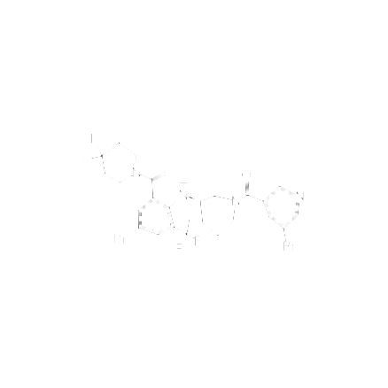 O=C(c1cncc(Br)c1)N1CCC[C@@H](Nc2c(C(=O)N3CCC(F)(F)CC3)cc(Br)cc2C(F)(F)F)C1